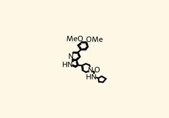 COc1ccc(-c2cnc3[nH]cc(C4=CCN(C(=O)NC5CCCC5)CC4)c3c2)cc1OC